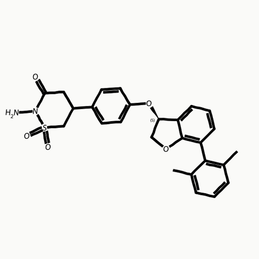 Cc1cccc(C)c1-c1cccc2c1OC[C@H]2Oc1ccc(C2CC(=O)N(N)S(=O)(=O)C2)cc1